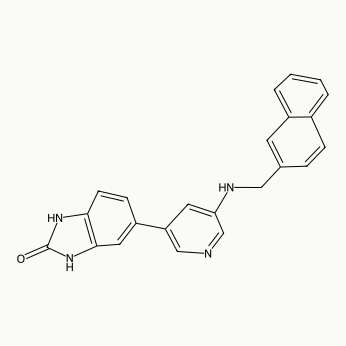 O=c1[nH]c2ccc(-c3cncc(NCc4ccc5ccccc5c4)c3)cc2[nH]1